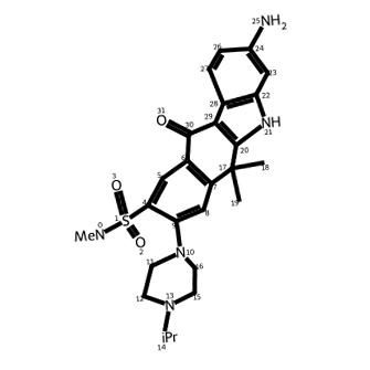 CNS(=O)(=O)c1cc2c(cc1N1CCN(C(C)C)CC1)C(C)(C)c1[nH]c3cc(N)ccc3c1C2=O